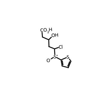 O=C(O)CC(O)CC(Cl)[S+]([O-])c1cccs1